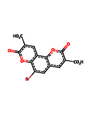 O=C(O)c1cc2c(oc1=O)c(Br)cc1cc(C(=O)O)c(=O)oc12